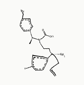 C=CC[C@](N)(CCN(C(=O)O)[C@@H](C)c1ccc(Br)cc1)c1ccc(F)cc1